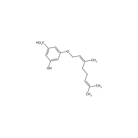 CC(C)=CCCC(C)=CCOc1cc(O)cc(C(=O)O)c1